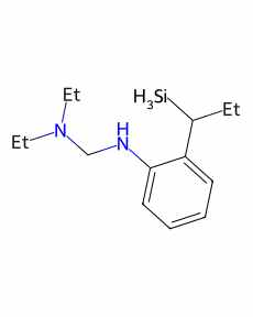 CCC([SiH3])c1ccccc1NCN(CC)CC